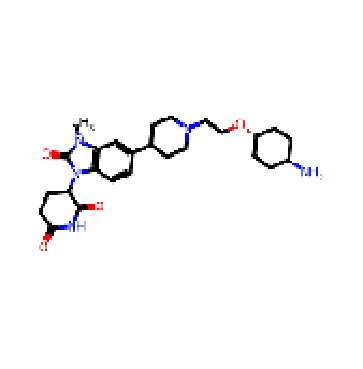 Cn1c(=O)n(C2CCC(=O)NC2=O)c2ccc(C3CCN(CCO[C@H]4CC[C@H](N)CC4)CC3)cc21